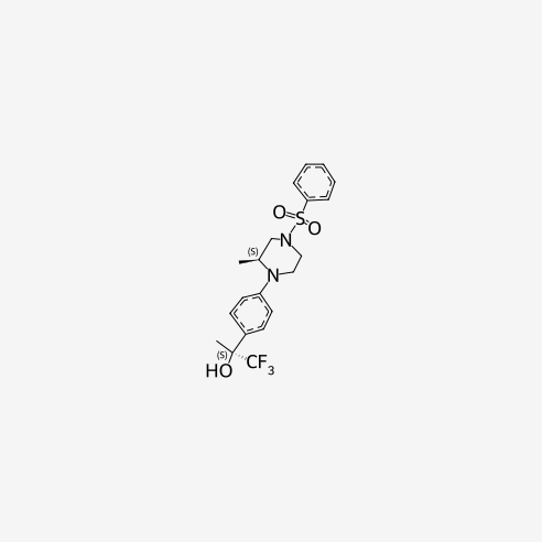 C[C@H]1CN(S(=O)(=O)c2ccccc2)CCN1c1ccc([C@](C)(O)C(F)(F)F)cc1